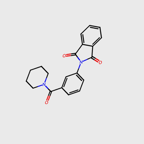 O=C(c1cccc(N2C(=O)c3ccccc3C2=O)c1)N1CCCCC1